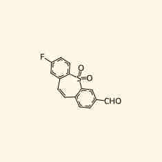 O=Cc1ccc2c(c1)S(=O)(=O)c1ccc(F)cc1C=C2